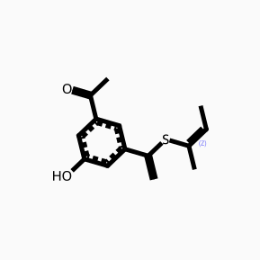 C=C(S/C(C)=C\C)c1cc(O)cc(C(C)=O)c1